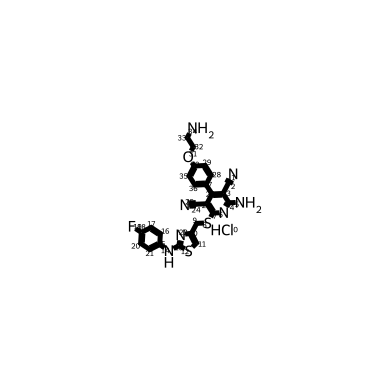 Cl.N#Cc1c(N)nc(SCc2csc(Nc3ccc(F)cc3)n2)c(C#N)c1-c1ccc(OCCN)cc1